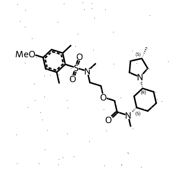 COc1cc(C)c(S(=O)(=O)N(C)CCOCC(=O)N(C)[C@H]2CCC[C@@H](N3CC[C@H](C)C3)C2)c(C)c1